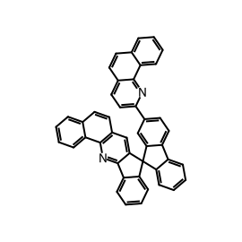 c1ccc2c(c1)-c1ccc(-c3ccc4ccc5ccccc5c4n3)cc1C21c2ccccc2-c2nc3c(ccc4ccccc43)cc21